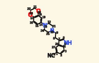 N#Cc1ccc2[nH]cc(CCN3CCN(c4ccc5c(c4)OCCO5)CC3)c2c1